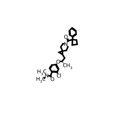 C[C@@H](CC1CC12CCN(C(=O)C1(c3ccccc3)CCC1)CC2)Oc1ccc(C(=O)N(C)C)c(Cl)c1